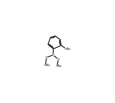 CCCCOP(OCCCC)c1ccccc1CCCC